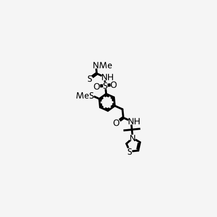 CNC(=S)NS(=O)(=O)c1cc(CC(=O)NC(C)(C)N2C=CSC2)ccc1SC